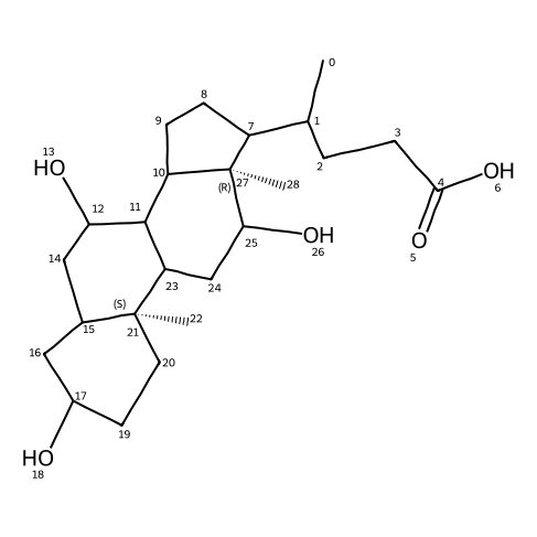 CC(CCC(=O)O)C1CCC2C3C(O)CC4CC(O)CC[C@]4(C)C3CC(O)[C@]12C